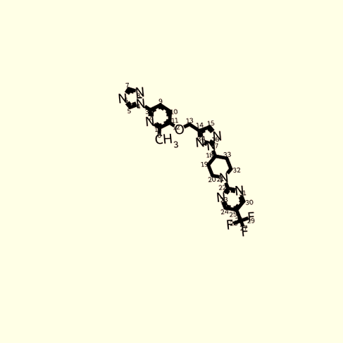 Cc1nc(-n2cncn2)ccc1OCc1cnn(C2CCN(c3ncc(C(F)(F)F)cn3)CC2)n1